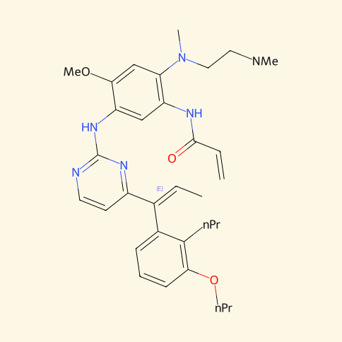 C=CC(=O)Nc1cc(Nc2nccc(/C(=C/C)c3cccc(OCCC)c3CCC)n2)c(OC)cc1N(C)CCNC